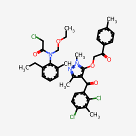 CCOCN(C(=O)CCl)c1c(C)cccc1CC.Cc1ccc(C(=O)COc2c(C(=O)c3ccc(Cl)c(C)c3Cl)c(C)nn2C)cc1